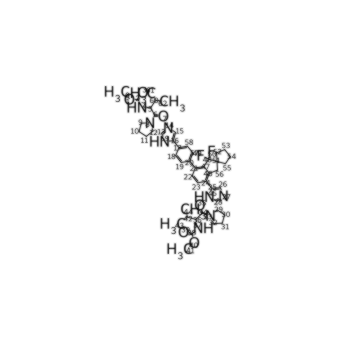 COC(=O)N[C@H](C(=O)N1CCC[C@H]1c1ncc(-c2ccc(-c3ccc(-c4cnc([C@@H]5CCCN5C(=O)[C@@H](NC(=O)OC)C(C)C)[nH]4)c4c3C(F)(F)C3(CCCC3)C4)cc2)[nH]1)C(C)C